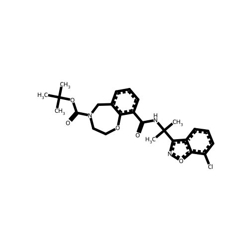 CC(C)(C)OC(=O)N1CCOc2c(cccc2C(=O)NC(C)(C)c2noc3c(Cl)cccc23)C1